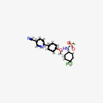 CS(=O)(=O)N[C@H]1CCC(F)(F)C[C@@H]1COc1ccc(-c2ccc(C#N)cn2)cc1